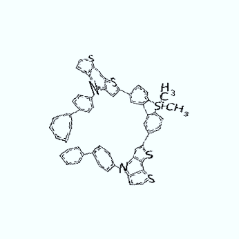 C[Si]1(C)c2ccc(-c3cc4c(s3)c3sccc3n4-c3ccc(-c4ccccc4)cc3)cc2-c2cc(-c3cc4c(s3)c3sccc3n4-c3ccc(-c4ccccc4)cc3)ccc21